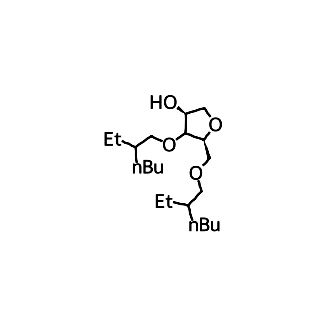 CCCCC(CC)COC[C@@H]1OC[C@H](O)C1OCC(CC)CCCC